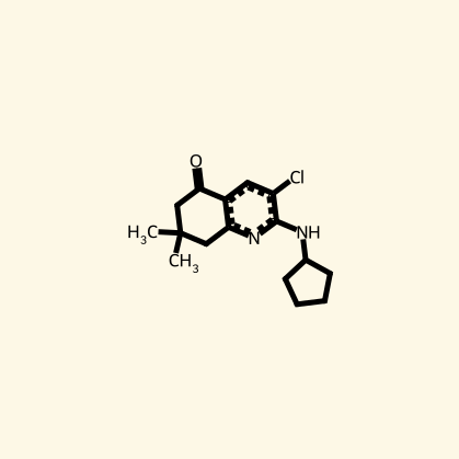 CC1(C)CC(=O)c2cc(Cl)c(NC3CCCC3)nc2C1